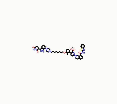 Cc1c(OCCCCCCCCN2CCN(c3cccc4c(C5CCC(=O)NC5=O)nn(C)c34)CC2)cccc1-c1ccc(N2CCc3cccc(C(=O)Nc4nc5ccccc5s4)c3C2)nc1C(=O)OC(C)(C)C